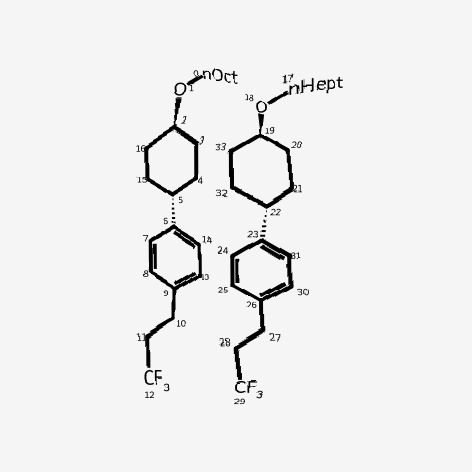 CCCCCCCCO[C@H]1CC[C@H](c2ccc(CCC(F)(F)F)cc2)CC1.CCCCCCCO[C@H]1CC[C@H](c2ccc(CCC(F)(F)F)cc2)CC1